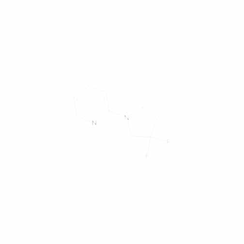 FC1(F)CCN(c2[c]cccn2)C1